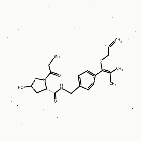 C=CCSC(=C(C)C)c1ccc(CNC(=O)[C@@H]2CC(O)CN2C(=O)CC(C)(C)C)cc1